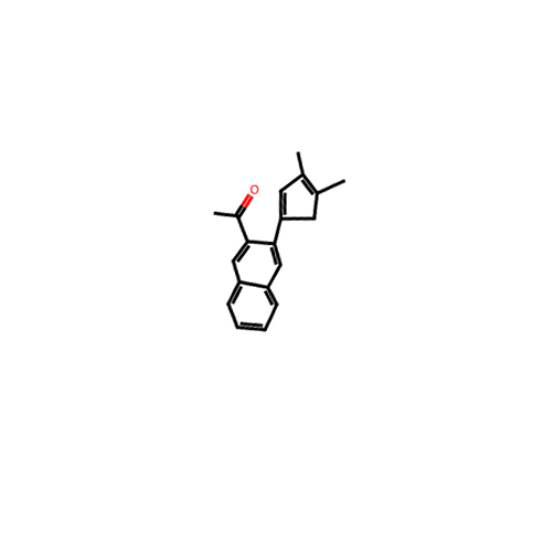 CC(=O)c1cc2ccccc2cc1C1=CC(C)=C(C)C1